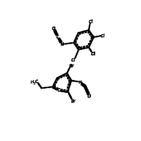 CCc1cc(Br)c(N=C=O)c(Br)c1.O=C=Nc1cc(Cl)c(Cl)c(Cl)c1Cl